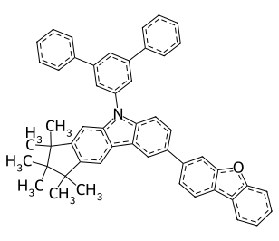 CC1(C)c2cc3c4cc(-c5ccc6c(c5)oc5ccccc56)ccc4n(-c4cc(-c5ccccc5)cc(-c5ccccc5)c4)c3cc2C(C)(C)C1(C)C